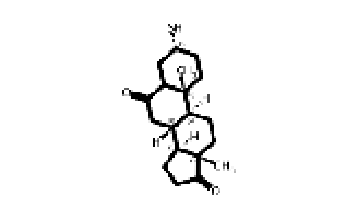 C[C@]12CC[C@@H](S)CC1C(=O)C[C@@H]1[C@@H]2CC[C@]2(C)C(=O)CC[C@@H]12